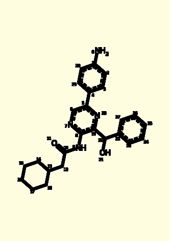 Nc1ccc(-c2cnc(NC(=O)CC3CCCCC3)c(C(O)c3ccccc3)n2)cc1